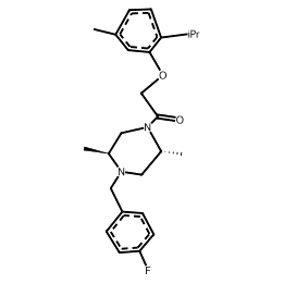 Cc1ccc(C(C)C)c(OCC(=O)N2C[C@H](C)N(Cc3ccc(F)cc3)C[C@H]2C)c1